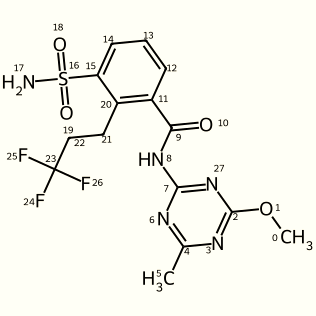 COc1nc(C)nc(NC(=O)c2cccc(S(N)(=O)=O)c2CCC(F)(F)F)n1